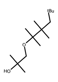 CC(C)(C)CC(C)(C)C(C)(C)OCC(C)(C)O